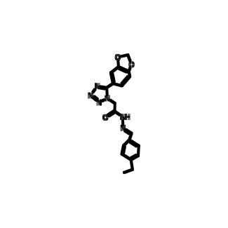 CCc1ccc(C=NNC(=O)Cn2nnnc2-c2ccc3c(c2)OCO3)cc1